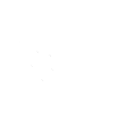 CC(F)Cn1cnc2c(N)nc(OCCc3ccccc3)nc21